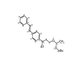 CCCCOC(C)OCCN(CC)c1ccc(N=Nc2ccccc2)cc1